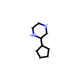 C1CCC(C2C[N]CCN2)C1